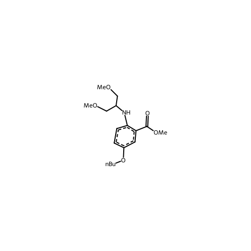 CCCCOc1ccc(NC(COC)COC)c(C(=O)OC)c1